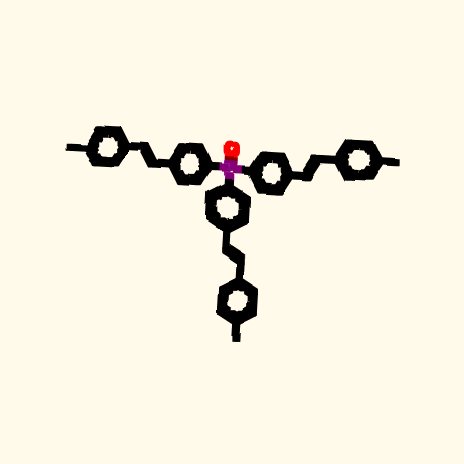 Cc1ccc(/C=C/c2ccc(P(=O)(c3ccc(/C=C/c4ccc(C)cc4)cc3)c3ccc(/C=C/c4ccc(C)cc4)cc3)cc2)cc1